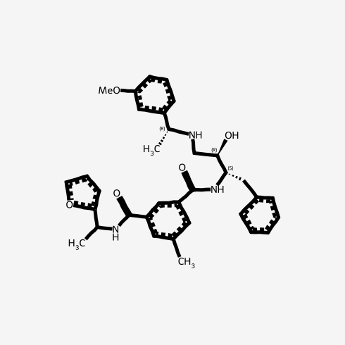 COc1cccc([C@@H](C)NC[C@@H](O)[C@H](Cc2ccccc2)NC(=O)c2cc(C)cc(C(=O)NC(C)c3ccco3)c2)c1